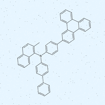 Cc1ccc2ccccc2c1N(c1ccc(-c2ccccc2)cc1)c1ccc(-c2ccc3c4ccccc4c4ccccc4c3c2)cc1